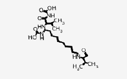 CC(C)C(C=O)NCCCCCCCCCC(NC(=O)O)NC(C(=O)NC(=O)O)C(C)C